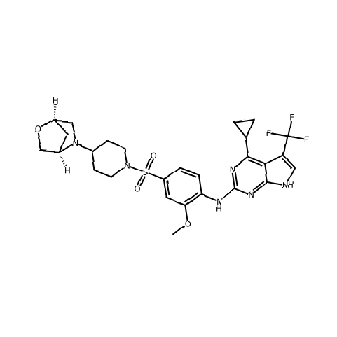 COc1cc(S(=O)(=O)N2CCC(N3C[C@H]4C[C@@H]3CO4)CC2)ccc1Nc1nc(C2CC2)c2c(C(F)(F)F)c[nH]c2n1